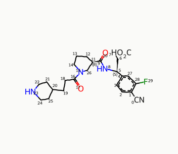 N#Cc1ccc([C@H](CC(=O)O)NC(=O)[C@@H]2CCCN(C(=O)CCC3CCNCC3)C2)cc1F